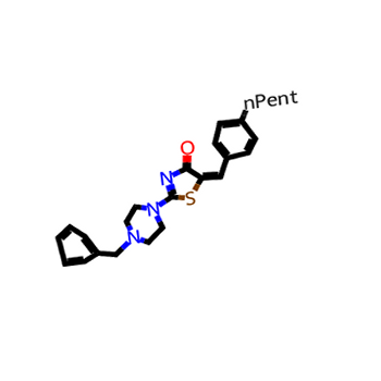 CCCCCc1ccc(C=C2SC(N3CCN(Cc4ccccc4)CC3)=NC2=O)cc1